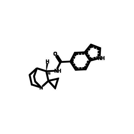 O=C(N[C@@H]1C2CCN(CC2)C12CC2)c1ccc2[nH]ccc2c1